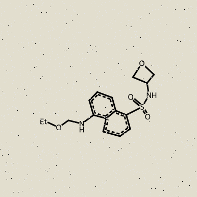 CCOCNc1cccc2c(S(=O)(=O)NC3COC3)cccc12